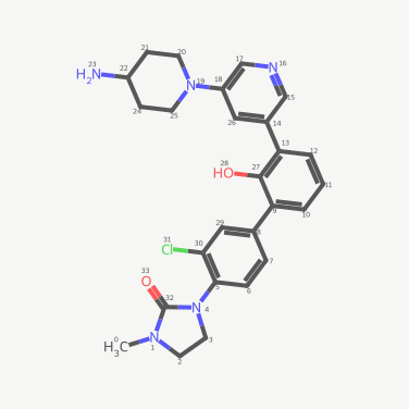 CN1CCN(c2ccc(-c3cccc(-c4cncc(N5CCC(N)CC5)c4)c3O)cc2Cl)C1=O